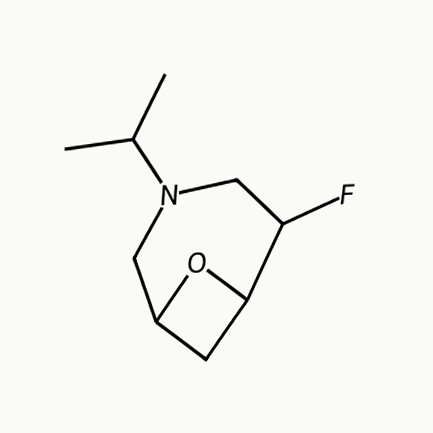 CC(C)N1CC2CC(O2)C(F)C1